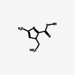 Cc1cn(CC(=O)O)c(C(=O)OS)n1